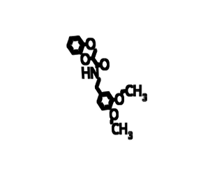 CCOc1ccc(CCNC(=O)C2COc3ccccc3O2)cc1OCC